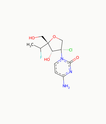 CC(F)[C@]1(CO)OC[C@@](Cl)(n2ccc(N)nc2=O)[C@@H]1O